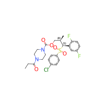 CCC(=O)N1CCN(C(=O)OC[C@@H](C)[C@@H](c2cc(F)ccc2F)S(=O)(=O)c2ccc(Cl)cc2)CC1